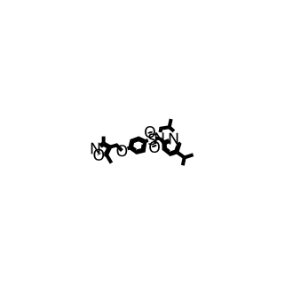 Cc1noc(C)c1COc1ccc(S(=O)(=O)N(CC(C)C)c2ccc(C(C)C)cn2)cc1